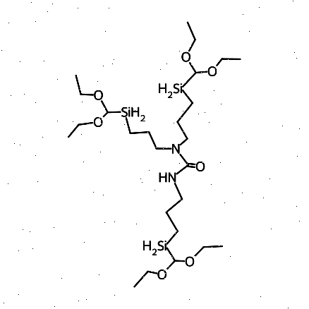 CCOC(OCC)[SiH2]CCCNC(=O)N(CCC[SiH2]C(OCC)OCC)CCC[SiH2]C(OCC)OCC